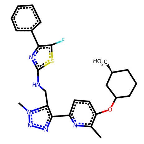 Cc1nc(-c2nnn(C)c2CNc2nc(-c3ccccc3)c(F)s2)ccc1OC1CCC[C@H](C(=O)O)C1